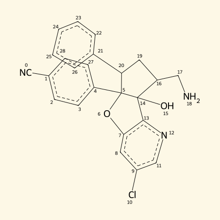 N#Cc1ccc(C23Oc4cc(Cl)cnc4C2(O)C(CN)CC3c2ccccc2)cc1